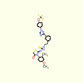 COc1ccc(N2C(=O)CS/C2=N\C(=S)NCCc2cccc(-c3ncn(-c4ccc(OC(F)(F)F)cc4)n3)c2)c(C)c1